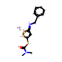 CN(C)C(=O)Sc1c/c(=N\Cc2ccccc2)ss1.I